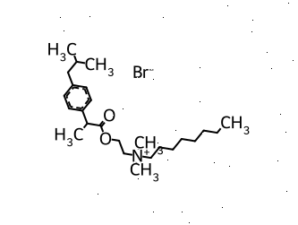 CCCCCCCC[N+](C)(C)CCOC(=O)C(C)c1ccc(CC(C)C)cc1.[Br-]